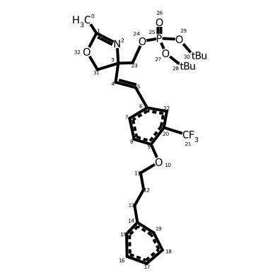 CC1=NC(/C=C/c2ccc(OCCCc3ccccc3)c(C(F)(F)F)c2)(COP(=O)(OC(C)(C)C)OC(C)(C)C)CO1